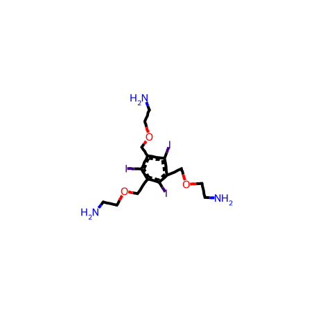 NCCOCc1c(I)c(COCCN)c(I)c(COCCN)c1I